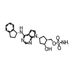 NS(=O)(=O)OC[C@@H]1C[C@@H](n2ccc3c(N[C@@H]4CCc5ccccc54)ncnc32)C[C@@H]1O